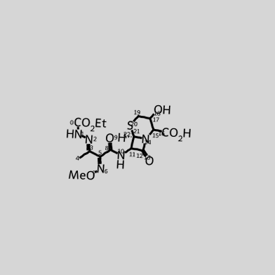 CCOC(=O)NN=C(C)C(=NOC)C(=O)NC1C(=O)N2C(C(=O)O)C(O)CS[C@H]12